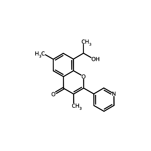 Cc1cc(C(C)O)c2oc(-c3cccnc3)c(C)c(=O)c2c1